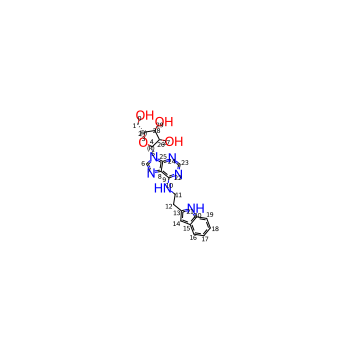 OC[C@H]1O[C@@H](n2cnc3c(NCCc4cc5ccccc5[nH]4)ncnc32)C(O)C1O